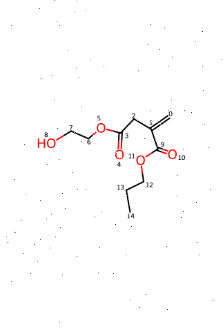 C=C(CC(=O)OCCO)C(=O)OCCC